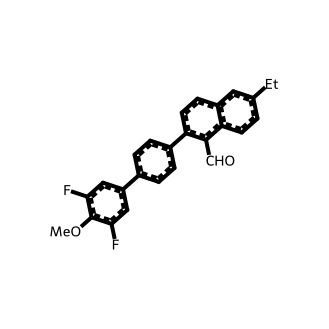 CCc1ccc2c(C=O)c(-c3ccc(-c4cc(F)c(OC)c(F)c4)cc3)ccc2c1